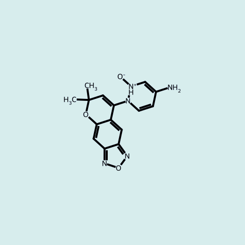 CC1(C)C=C(N2C=CC(N)=C[NH+]2[O-])c2cc3nonc3cc2O1